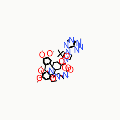 CCN1CCc2cc(OC)c(OC)cc2C1C1CC(C(=O)N2CCN(c3ncnc4c3nnn4C)CC2)CCC12c1cc(OC)c(OC)cc1CCN2C(=O)CCN(C)C(=O)OCOC(=O)C(C)(C)C